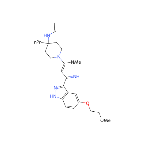 C=CNC1(CCC)CCN(/C(=C/C(=N)c2n[nH]c3ccc(OCCOC)cc23)NC)CC1